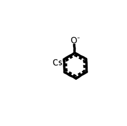 [Cs+].[O-]c1ccccc1